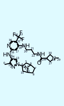 Cc1nn(C2CC3CCC(C2)N3C)cc1Nc1cc(NCCCNC(=O)C2CN(C)C2)c(C(F)(F)F)cn1